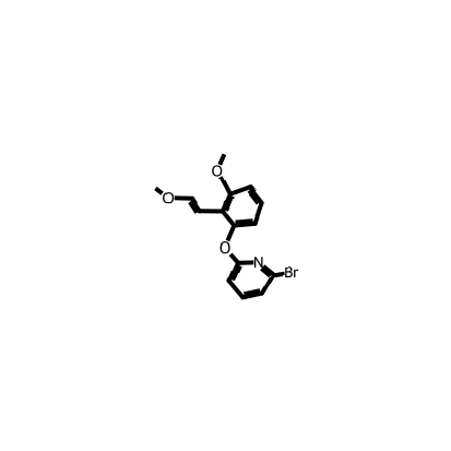 COC=Cc1c(OC)cccc1Oc1cccc(Br)n1